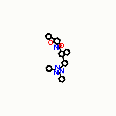 c1ccc(-c2nc(-c3ccccc3)nc(-c3cccc(-c4ccc(-c5nc6c(ccc7c8ccccc8oc76)o5)c5ccccc45)c3)n2)cc1